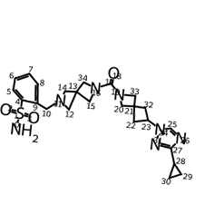 NS(=O)(=O)c1ccccc1CN1CC2(C1)CN(C(=O)N1CC3(CC(n4cnc(C5CC5)n4)C3)C1)C2